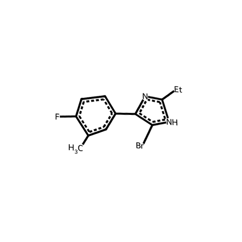 CCc1nc(-c2ccc(F)c(C)c2)c(Br)[nH]1